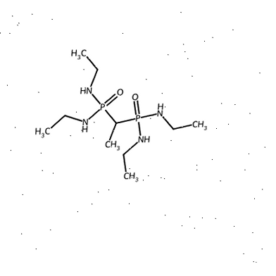 CCNP(=O)(NCC)C(C)P(=O)(NCC)NCC